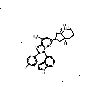 Cc1cc(N2C[C@H]3CCCN(C)[C@H]3C2)nn2c(-c3ccnc4[nH]ccc34)c(-c3ccc(F)cc3)nc12